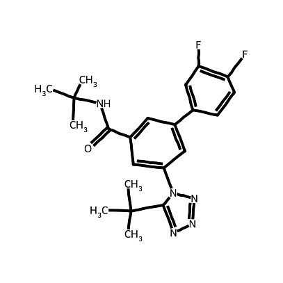 CC(C)(C)NC(=O)c1cc(-c2ccc(F)c(F)c2)cc(-n2nnnc2C(C)(C)C)c1